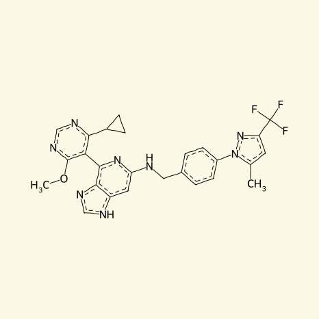 COc1ncnc(C2CC2)c1-c1nc(NCc2ccc(-n3nc(C(F)(F)F)cc3C)cc2)cc2[nH]cnc12